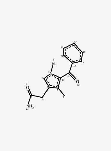 CCn1cc(CC(N)=O)c(C)c1C(=O)c1ccccc1